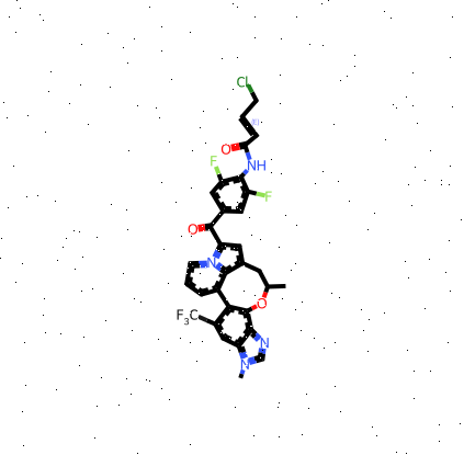 CC1Cc2cc(C(=O)c3cc(F)c(NC(=O)/C=C/CCl)c(F)c3)n3cccc(c23)-c2c(C(F)(F)F)cc3c(ncn3C)c2O1